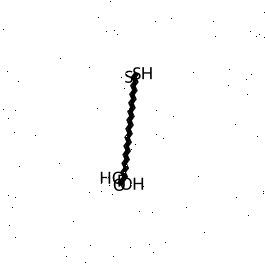 O=P(O)(O)CCCCCCCCCCCCCCCCCCCCCCCC(=S)S